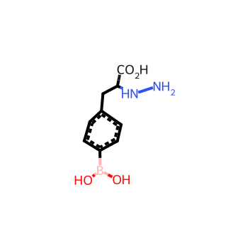 NNC(Cc1ccc(B(O)O)cc1)C(=O)O